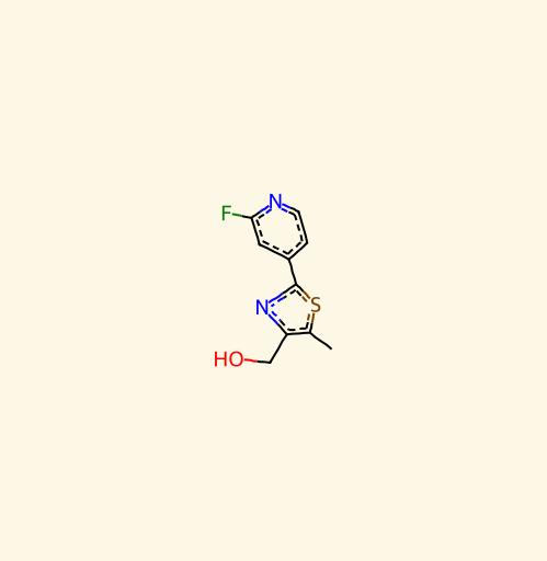 Cc1sc(-c2ccnc(F)c2)nc1CO